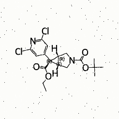 CCOC(=O)[C@@]1(c2cc(Cl)nc(Cl)c2)[C@@H]2CN(C(=O)OC(C)(C)C)C[C@@H]21